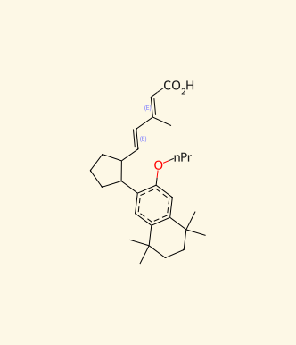 CCCOc1cc2c(cc1C1CCCC1/C=C/C(C)=C/C(=O)O)C(C)(C)CCC2(C)C